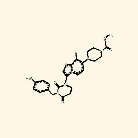 COc1ccc(CN2C(=O)CCN(c3cnc4c(C)c(N5CCN(C(=O)OC(C)(C)C)CC5)ccn34)C2=O)cc1